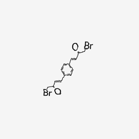 O=C(/C=C/c1ccc(/C=C/C(=O)CBr)cc1)CBr